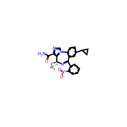 C[C@@H]1N=C(c2ccccc2[N+](=O)[O-])c2cc(C3CC3)ccc2-n2cnc(C(N)=O)c21